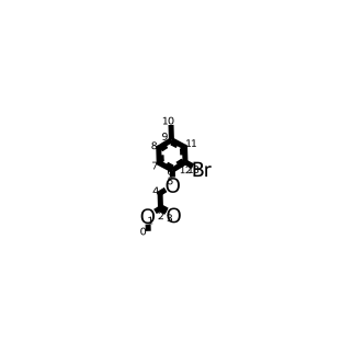 COC(=O)COc1ccc(C)cc1Br